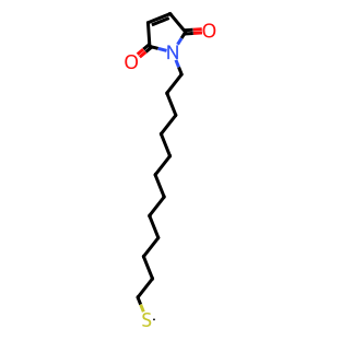 O=C1C=CC(=O)N1CCCCCCCCCCCC[S]